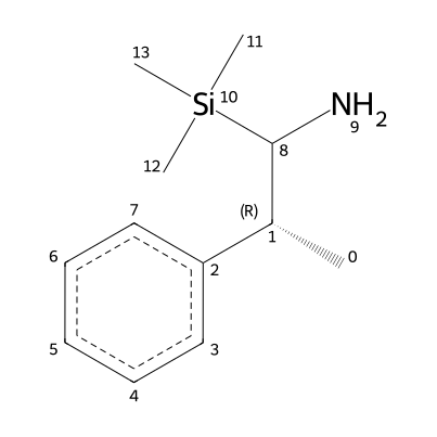 C[C@H](c1ccccc1)C(N)[Si](C)(C)C